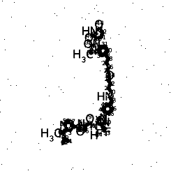 CN(c1cc(-c2nc(C(=O)Nc3cn(-c4ccc(CNCCCCOCCCCc5ccc6c(c5)n(C)c(=O)n6[C@@H]5CCC(=O)NC5=O)cc4)nc3C(F)F)co2)ccn1)C1CC1